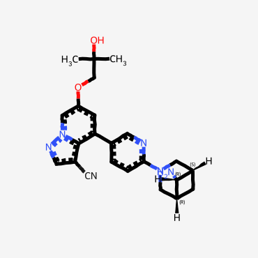 CC(C)(O)COc1cc(-c2ccc(N3C[C@H]4C[C@@H](C3)[C@H]4N)nc2)c2c(C#N)cnn2c1